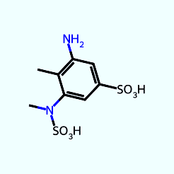 Cc1c(N)cc(S(=O)(=O)O)cc1N(C)S(=O)(=O)O